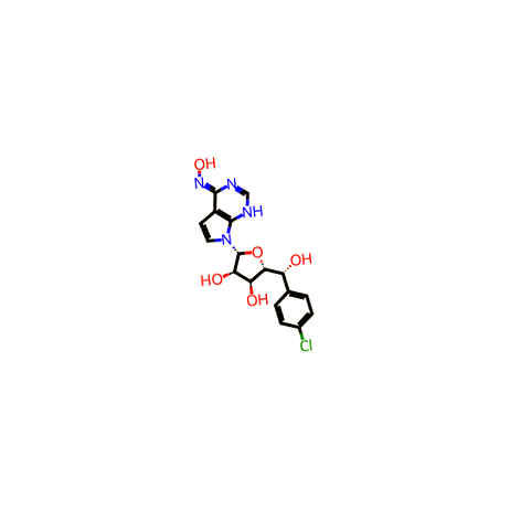 O/N=c1\nc[nH]c2c1ccn2[C@@H]1O[C@H]([C@H](O)c2ccc(Cl)cc2)[C@@H](O)[C@H]1O